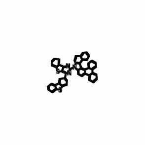 c1ccc2c(c1)ccc1c2c2c3c4ccccc4c4ccccc4c3ccc2n1-c1nc(-c2ccc3sc4ccccc4c3c2)c2sc3ccccc3c2n1